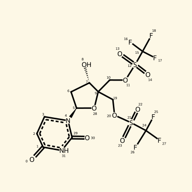 O=c1ccn([C@H]2C[C@H](O)C(COS(=O)(=O)C(F)(F)F)(COS(=O)(=O)C(F)(F)F)O2)c(=O)[nH]1